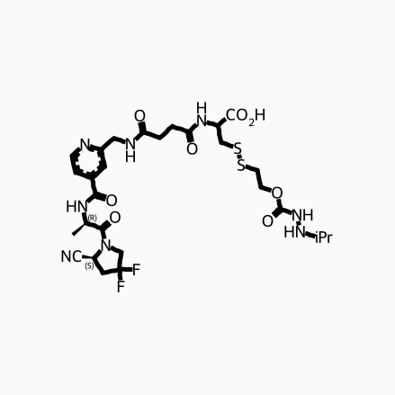 CC(C)NNC(=O)OCCSSCC(NC(=O)CCC(=O)NCc1cc(C(=O)N[C@H](C)C(=O)N2CC(F)(F)C[C@H]2C#N)ccn1)C(=O)O